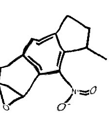 CC1CCc2cc3c(c([N+](=O)[O-])c21)C1OC1C3